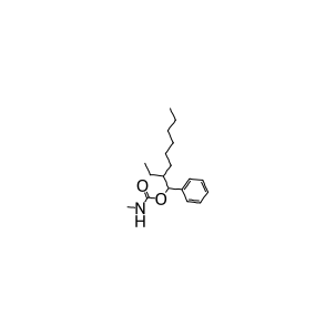 CCCCCCC(CC)C(OC(=O)NC)c1ccccc1